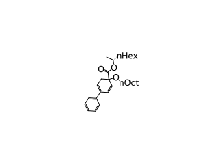 CCCCCCCCOC1(C(=O)O[C@H](C)CCCCCC)C=CC(c2ccccc2)=CC1